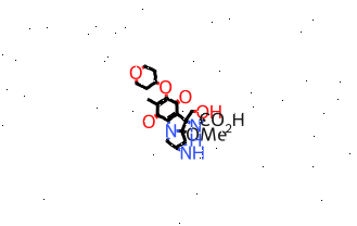 COC12C3NC3CN1C1=C(C(=O)C(OC3CCOCC3)=C(C)C1=O)C2(CO)NC(=O)O